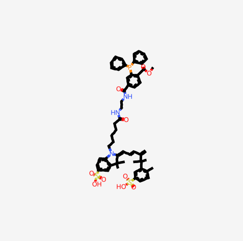 C=C(/C=C/C=C1/N(CCCCCC(=O)NCCNC(=O)c2ccc(C(=O)OC)c(P(c3ccccc3)c3ccccc3)c2)c2ccc(S(=O)(=O)O)cc2C1(C)C)C(C)(C)c1cc(S(=O)(=O)O)ccc1C